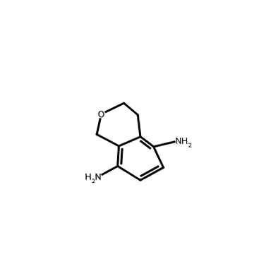 Nc1ccc(N)c2c1CCOC2